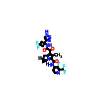 Cc1c(C(=O)C(=O)NC2(c3c[nH]nn3)CC(F)(F)C2)c2n(c1C(=O)Nc1ccnc(C(F)F)c1F)[C@@H]1C[C@@H]1C2